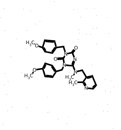 COc1ccc(Cn2c(N(C)Cc3cccnc3C)nc(=O)n(Cc3ccc(OC)cc3)c2=O)cc1